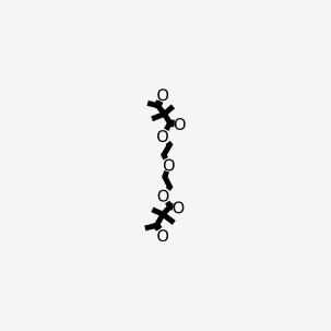 CC(=O)C(C)(C)C(=O)OCCOCCOC(=O)C(C)(C)C(C)=O